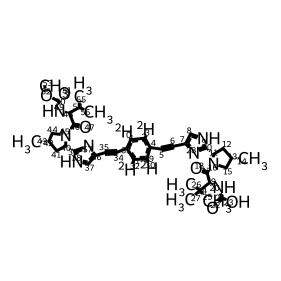 [2H]c1c([2H])c(C#Cc2c[nH]c([C@@H]3C[C@H](C)CN3C(=O)[C@@H](NC(=O)O)C(C)(C)C)n2)c([2H])c([2H])c1C#Cc1c[nH]c([C@@H]2C[C@H](C)CN2C(=O)[C@@H](NC(=O)OC)C(C)C)n1